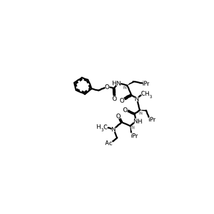 CC(=O)CN(C)C(=O)[C@@H](NC(=O)[C@H](CC(C)C)N(C)C(=O)[C@H](CC(C)C)NC(=O)OCc1ccccc1)C(C)C